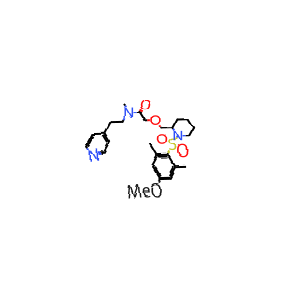 COc1cc(C)c(S(=O)(=O)N2CCCCC2COCC(=O)N(C)CCc2ccncc2)c(C)c1